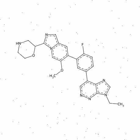 CCn1cnc2c(-c3ccc(F)c(-c4cc5cnc(C6CNCCO6)n5cc4OC)c3)cnnc21